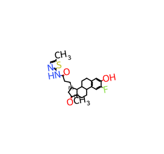 Cc1cnc(NC(=O)CC[C@@H]2CC(=O)[C@@]3(C)CCC4c5cc(F)c(O)cc5CCC4C23)s1